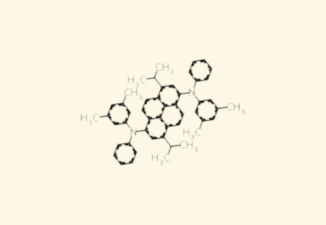 Cc1cc(C)cc(N(c2ccccc2)c2cc(C(C)C)c3ccc4c(N(c5ccccc5)c5cc(C)cc(C)c5)cc(C(C)C)c5ccc2c3c54)c1